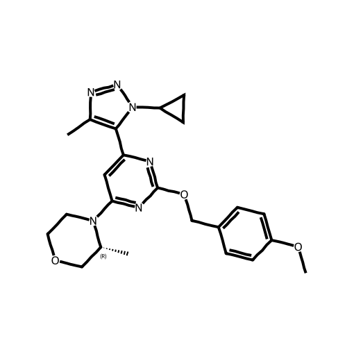 COc1ccc(COc2nc(-c3c(C)nnn3C3CC3)cc(N3CCOC[C@H]3C)n2)cc1